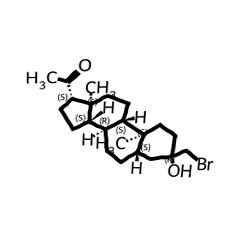 CC(=O)[C@H]1CC[C@H]2[C@@H]3CC[C@H]4C[C@@](O)(CBr)CC[C@]4(C)[C@H]3CC[C@]12C